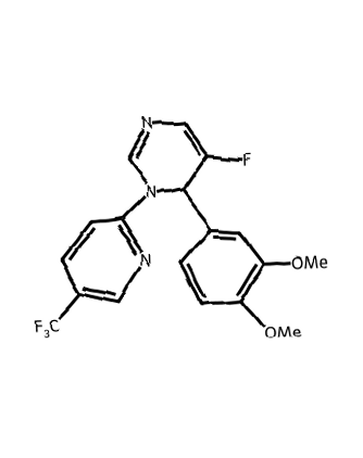 COc1ccc(C2C(F)=CN=CN2c2ccc(C(F)(F)F)cn2)cc1OC